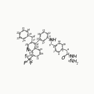 NNC(=O)Cc1ccc(CNc2cccc(-c3c(Cc4ccccc4)cnc4c(C(F)(F)F)cccc34)c2)cc1